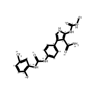 CCNC(=O)Nc1[nH]cc(-c2ccc(NC(=O)Nc3cc(C(F)(F)F)ccc3F)cc2)c1C(N)=O